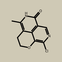 Cc1[nH]c(=O)c2cnc(Cl)c3c2c1CCO3